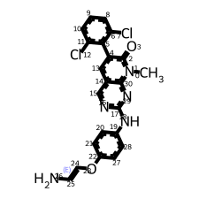 Cn1c(=O)c(-c2c(Cl)cccc2Cl)cc2cnc(Nc3ccc(O/C=C/N)cc3)nc21